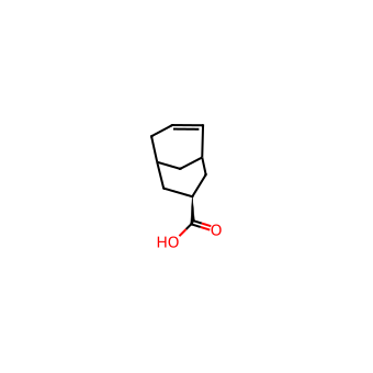 O=C(O)[C@@H]1CC2C=CCC(C2)C1